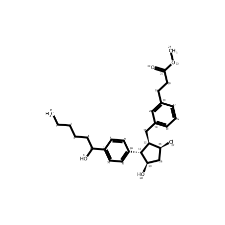 CCCCCC(O)c1ccc([C@@H]2[C@@H](Cc3cccc(CCC(=O)OC)c3)[C@@H](Cl)C[C@H]2O)cc1